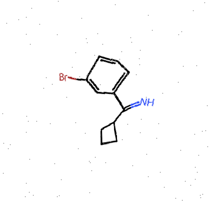 N=C(c1cccc(Br)c1)C1CCC1